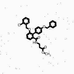 COC(=O)CCNC(=O)c1cccc(OCc2ccccc2Cl)c1-c1ccc(OCc2ccccc2)cc1